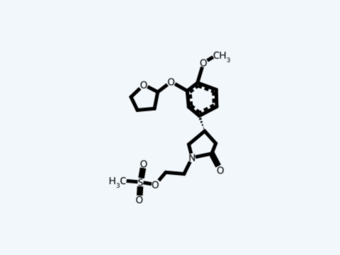 COc1ccc([C@@H]2CC(=O)N(CCOS(C)(=O)=O)C2)cc1OC1CCCO1